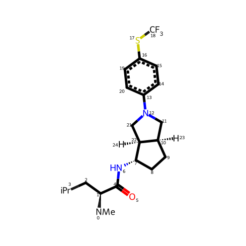 CN[C@@H](CC(C)C)C(=O)N[C@H]1CC[C@@H]2CN(c3ccc(SC(F)(F)F)cc3)C[C@@H]21